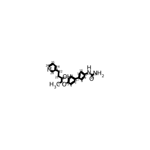 CC(Oc1ccc(-c2ccc(NC(N)=O)cc2)cc1)[C@H](O)CCc1cccnc1